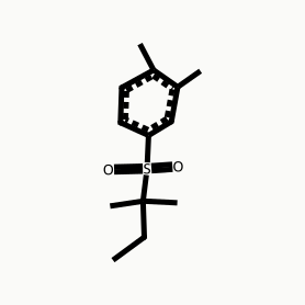 CCC(C)(C)S(=O)(=O)c1ccc(C)c(C)c1